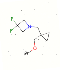 CC(C)OCC1(CN2CC(F)(F)C2)CC1